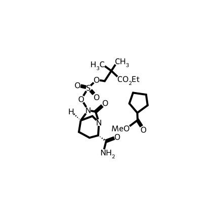 CCOC(=O)C(C)(C)COS(=O)(=O)ON1C(=O)N2C[C@H]1CC[C@H]2C(N)=O.COC(=O)C1CCCC1